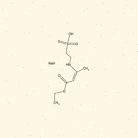 CCOC(=O)C=C(C)NCCS(=O)(=O)O.[NaH]